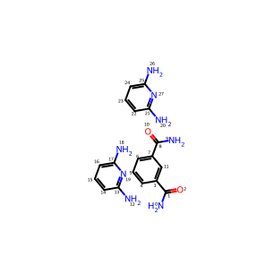 NC(=O)c1cccc(C(N)=O)c1.Nc1cccc(N)n1.Nc1cccc(N)n1